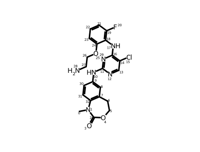 CN1C(=O)OCCc2cc(Nc3ncc(Cl)c(Nc4c(F)cccc4OCCN)n3)ccc21